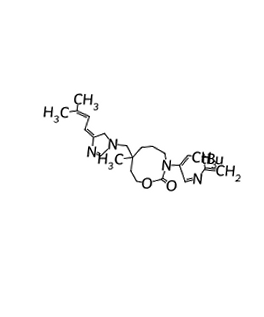 C=C(/N=C\C(=C/C)N1CCCC(C)(CN2C=N/C(=C/C=C(C)C)C2)CCOC1=O)C(C)(C)C